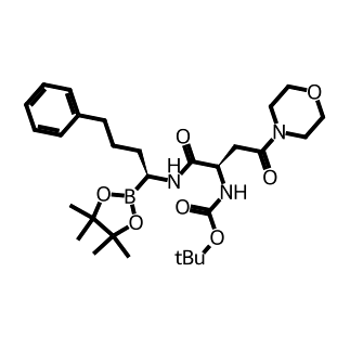 CC(C)(C)OC(=O)N[C@H](CC(=O)N1CCOCC1)C(=O)N[C@H](CCCc1ccccc1)B1OC(C)(C)C(C)(C)O1